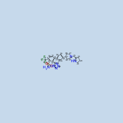 NS(=O)(=O)c1c(C(F)(F)F)ccc(-c2ccc(C3CCN(CC4CCCN4)CC3)cc2)c1-c1nnn[nH]1